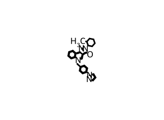 CC1CCCC[C@H]1n1nc2c3ccccc3n(Cc3ccc(-n4cccn4)cc3)cc-2c1=O